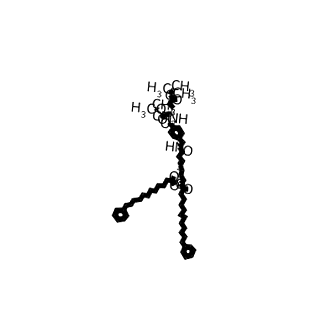 CC(C)(C)OC(=O)CC[C@H](NC(=O)c1ccc(CNC(=O)CCSCC(COC(=O)CCCCCCCCCCCc2ccccc2)OC(=O)CCCCCCCCCCCc2ccccc2)cc1)C(=O)OC(C)(C)C